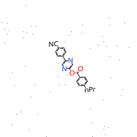 CCCc1ccc(C(=O)Oc2cnc(-c3ccc(C#N)cc3)cn2)cc1